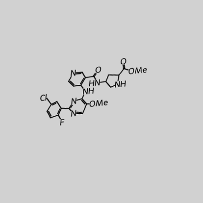 COC(=O)C1CC(NC(=O)c2cnccc2Nc2nc(-c3cc(Cl)ccc3F)ncc2OC)CN1